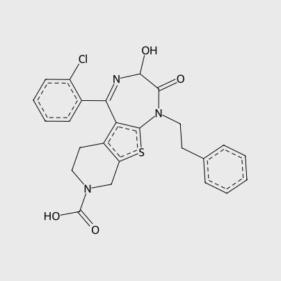 O=C(O)N1CCc2c(sc3c2C(c2ccccc2Cl)=NC(O)C(=O)N3CCc2ccccc2)C1